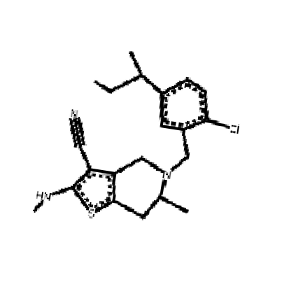 CCC(C)c1ccc(Cl)c(CN2Cc3c(sc(NC)c3C#N)CC2C)c1